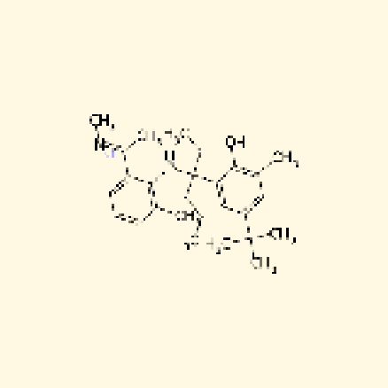 CCCC(CC)(Pc1c(C)cccc1/C(C)=N/C)c1cc(C(C)(C)C)cc(C)c1O